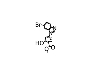 COC(=O)c1sc(-n2cnc3ccc(Br)cc32)cc1O